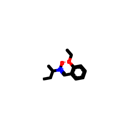 CCOc1ccccc1C=[N+]([O-])C(C)CC